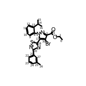 CCOC(=O)c1nn(-c2ccccc2C(C)C)c(-c2nc(-c3cccc(C)c3)ns2)c1Br